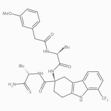 CCC(C)[C@H](NC(=O)Cc1cccc(OC)c1)C(=O)N[C@]1(C(=O)NC(C(N)=S)[C@@H](C)CC)CCc2[nH]c3c(C(F)(F)F)cccc3c2C1